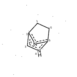 [CH]1Cc2c[nH]c1n2